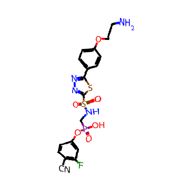 N#Cc1ccc(OP(=O)(O)CNS(=O)(=O)c2nnc(-c3ccc(OCCN)cc3)s2)cc1F